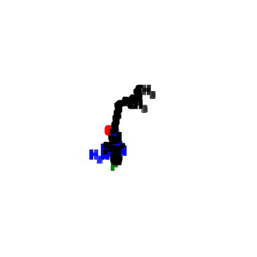 CC/C=C\C/C(C)=C/C/C=C\CCCCCCCC(=O)N1CCC(n2cnc(-c3ccc(F)cc3)c2-c2ccnc(N)n2)CC1